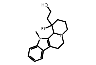 CCC1(CCO)CCCN2CCc3c(n(C)c4ccccc34)C21